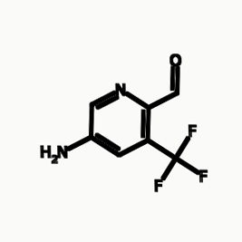 Nc1cnc(C=O)c(C(F)(F)F)c1